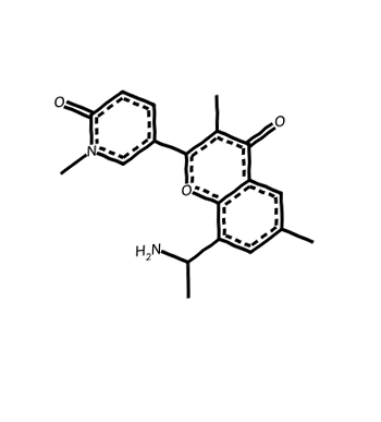 Cc1cc(C(C)N)c2oc(-c3ccc(=O)n(C)c3)c(C)c(=O)c2c1